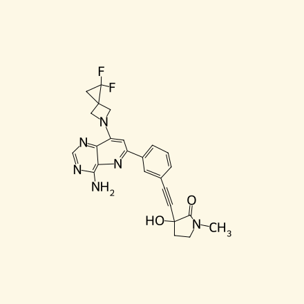 CN1CCC(O)(C#Cc2cccc(-c3cc(N4CC5(C4)CC5(F)F)c4ncnc(N)c4n3)c2)C1=O